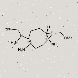 COC[C@H]1[C@H]2CC/C(N(N)CC(C)(C)C)=C(/N)CC[C@]21N